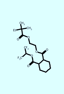 CCC(C)(C)C(=O)OCCOC(=O)C1CCCCC1C(=O)OC(C(F)(F)F)C(F)(F)F